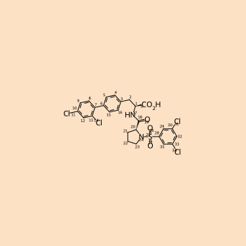 O=C(O)[C@H](Cc1ccc(-c2ccc(Cl)cc2Cl)cc1)NC(=O)[C@@H]1CCCN1S(=O)(=O)c1cc(Cl)cc(Cl)c1